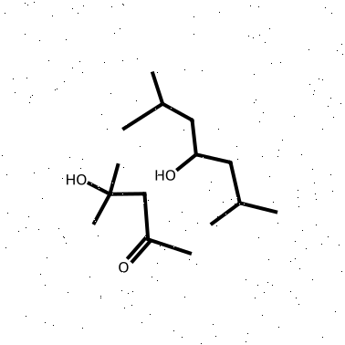 CC(=O)CC(C)(C)O.CC(C)CC(O)CC(C)C